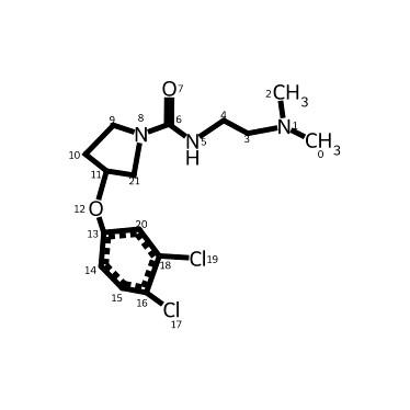 CN(C)CCNC(=O)N1CCC(Oc2ccc(Cl)c(Cl)c2)C1